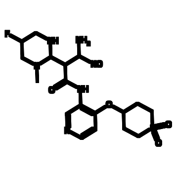 CN1CC(F)CNC1C(C(=O)Nc1cnccc1OC1CCS(=O)(=O)CC1)C(N)N=O